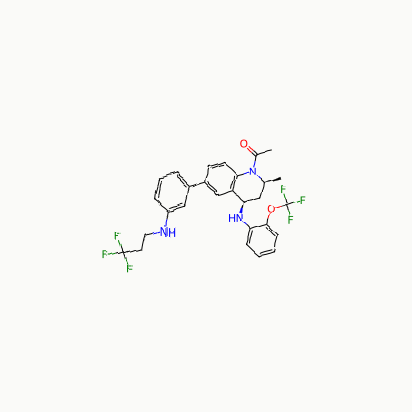 CC(=O)N1c2ccc(-c3cccc(NCCC(F)(F)F)c3)cc2[C@H](Nc2ccccc2OC(F)(F)F)C[C@@H]1C